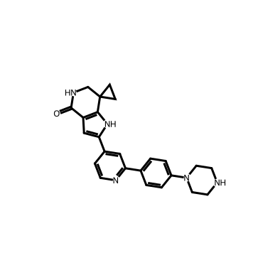 O=C1NCC2(CC2)c2[nH]c(-c3ccnc(-c4ccc(N5CCNCC5)cc4)c3)cc21